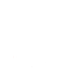 O=C(O)c1ccc(CCC2C3CCC(O3)C2CO)cc1